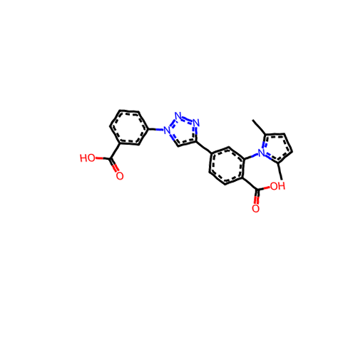 Cc1ccc(C)n1-c1cc(-c2cn(-c3cccc(C(=O)O)c3)nn2)ccc1C(=O)O